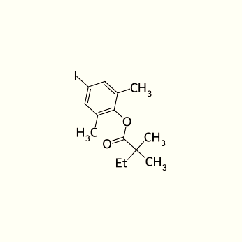 CCC(C)(C)C(=O)Oc1c(C)cc(I)cc1C